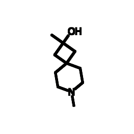 CN1CCC2(CC1)CC(C)(O)C2